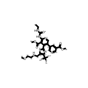 CCNC(=O)Nc1ncc(-c2cncc(C(=O)OC)c2)c(-c2nc(C(F)(F)F)c(CNCCOC)s2)c1C(=O)OC